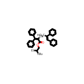 CCCCC(CC)COC(=O)C(C#N)=C(c1ccccc1)c1ccccc1.O=C(O)C(=Cc1ccccc1)c1ccccc1